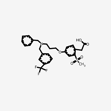 CS(=O)(=O)c1cc(OCCCN(Cc2ccccc2)Cc2cccc(C(F)(F)F)c2)ccc1CC(=O)O